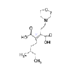 CCC(C)CC/C(C(=O)O)=C(/CCN1CCOCC1)C(=O)O